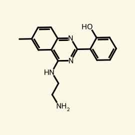 Cc1ccc2nc(-c3ccccc3O)nc(NCCN)c2c1